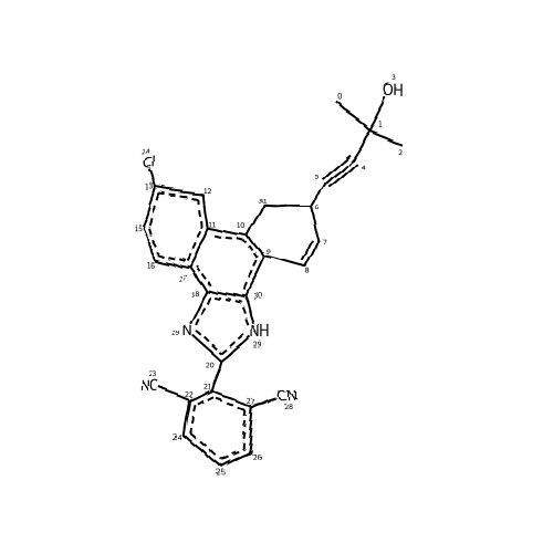 CC(C)(O)C#CC1C=Cc2c(c3cc(Cl)ccc3c3nc(-c4c(C#N)cccc4C#N)[nH]c23)C1